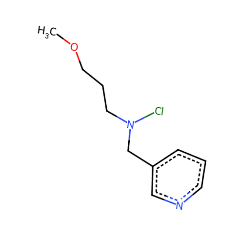 COCCCN(Cl)Cc1cccnc1